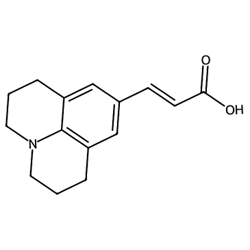 O=C(O)/C=C/c1cc2c3c(c1)CCCN3CCC2